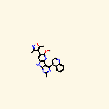 COc1nc2c(cc1-c1c(C)noc1C)[nH]c1nc(C)nc(-c3ccnc4ccccc34)c12